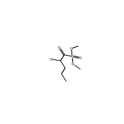 CCCC(Cl)C(=O)P(=O)(OC)OC